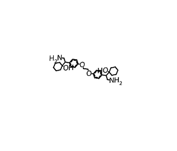 NCC(c1ccc(OCCOc2ccc(C(CN)C3(O)CCCCC3)cc2)cc1)C1(O)CCCCC1